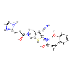 COc1ccccc1C1CC1C(=O)Nc1sc2c(c1C#N)CCN(C(=O)CCc1nccn1C)C2